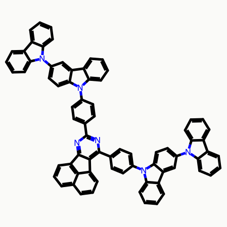 c1cc2c3c(cccc3c1)-c1c(-c3ccc(-n4c5ccccc5c5cc(-n6c7ccccc7c7ccccc76)ccc54)cc3)nc(-c3ccc(-n4c5ccccc5c5cc(-n6c7ccccc7c7ccccc76)ccc54)cc3)nc1-2